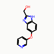 OCc1nc2cc(Oc3cccnc3)ccc2[nH]1